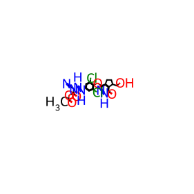 CC(=O)OC(=O)N(C#N)NNc1cc(Cl)c(Oc2n[nH]c(=O)c3c2CCC3CO)c(Cl)c1